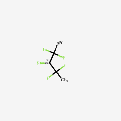 [CH2]CCC(F)(F)[C@H](F)C(F)(F)C(F)(F)F